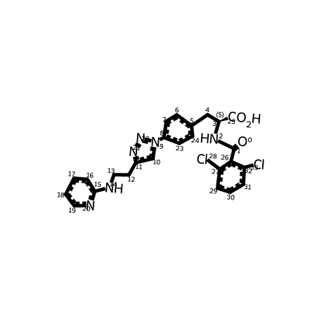 O=C(N[C@@H](Cc1ccc(-n2cc(CCNc3ccccn3)nn2)cc1)C(=O)O)c1c(Cl)cccc1Cl